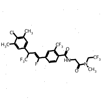 Cc1cc(C(C=C(F)c2ccc(C(=O)NCC(=O)N(C)CC(F)(F)F)c(C(F)(F)F)c2)C(F)(F)F)cc(C)c1Cl